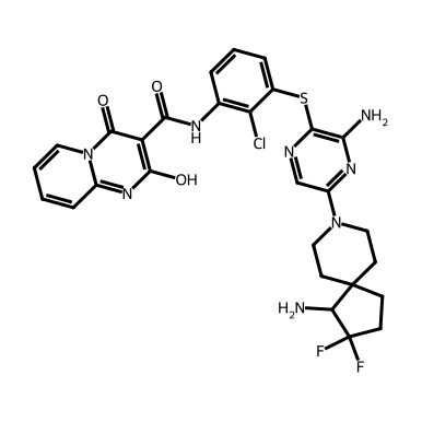 Nc1nc(N2CCC3(CC2)CCC(F)(F)C3N)cnc1Sc1cccc(NC(=O)c2c(O)nc3ccccn3c2=O)c1Cl